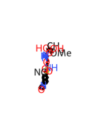 CO[C@H]1O[C@H](Cn2cc(COCCNS(=O)(=O)/C(C#N)=C/c3ccc4cc(N5CCOCC5)ccc4c3)nn2)[C@@H](O)[C@H](C)[C@H]1O